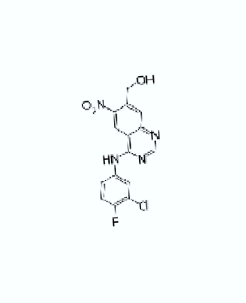 O=[N+]([O-])c1cc2c(Nc3ccc(F)c(Cl)c3)ncnc2cc1CO